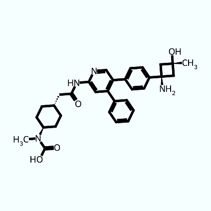 CN(C(=O)O)[C@H]1CC[C@H](CC(=O)Nc2cc(-c3ccccc3)c(-c3ccc([C@]4(N)C[C@](C)(O)C4)cc3)cn2)CC1